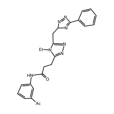 CCn1c(CCC(=O)Nc2cccc(C(C)=O)c2)nnc1CC1N=NC(c2ccccc2)=N1